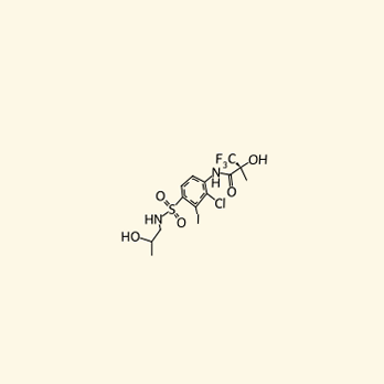 CC(O)CNS(=O)(=O)c1ccc(NC(=O)[C@@](C)(O)C(F)(F)F)c(Cl)c1I